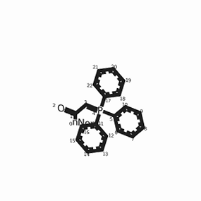 CCCCCCCCCC(=O)C=P(c1ccccc1)(c1ccccc1)c1ccccc1